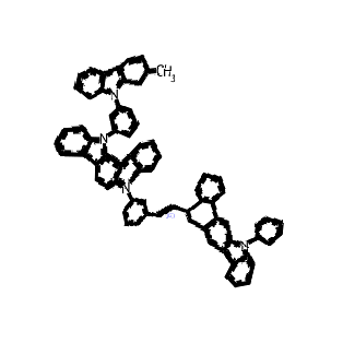 CC1C=Cc2c(n(-c3cccc(-n4c5ccccc5c5ccc6c(c7ccccc7n6-c6cccc(/C=C/C7Cc8cc9c%10ccccc%10n(-c%10ccccc%10)c9cc8-c8ccccc87)c6)c54)c3)c3ccccc23)C1